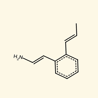 C/C=C/c1ccccc1/C=C/N